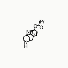 CC(C)C(=O)Oc1ccc2c(c1)[C@@]1(N)CCNC(C2)C1